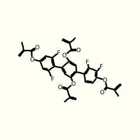 C=C(C)C(=O)Oc1cc(F)c(-c2cc(OC(=O)C(=C)C)c(-c3ccc(OC(=O)C(=C)C)c(F)c3F)cc2OC(=O)C(=C)C)c(F)c1